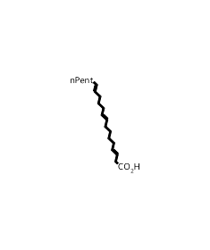 CCCCCC=CCCCC=CCCCCC=CCC(=O)O